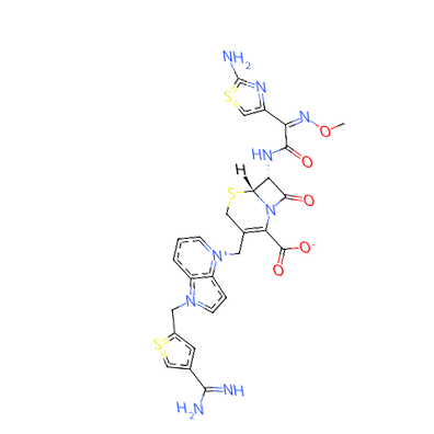 CO/N=C(\C(=O)N[C@@H]1C(=O)N2C(C(=O)[O-])=C(C[n+]3cccc4c3ccn4Cc3cc(C(=N)N)cs3)CS[C@H]12)c1csc(N)n1